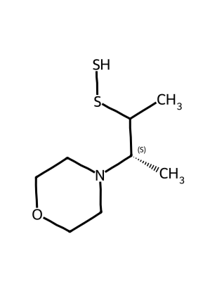 CC(SS)[C@H](C)N1CCOCC1